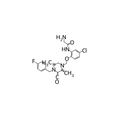 C[C@@H]1CN(COc2ccc(Cl)cc2NC(=O)CN)[C@@H](C)C(=C=O)N1Cc1ccc(F)cc1